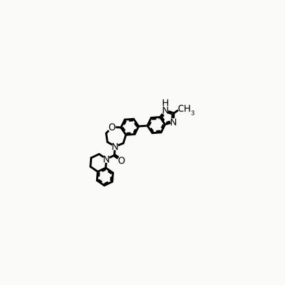 Cc1nc2ccc(-c3ccc4c(c3)CN(C(=O)N3CCCc5ccccc53)CCO4)cc2[nH]1